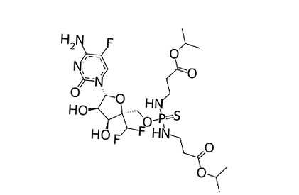 CC(C)OC(=O)CCNP(=S)(NCCC(=O)OC(C)C)OC[C@@]1(C(F)F)O[C@@H](n2cc(F)c(N)nc2=O)[C@H](O)[C@@H]1O